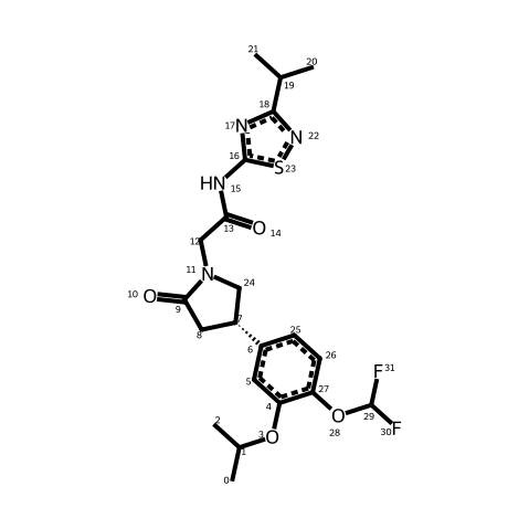 CC(C)Oc1cc([C@@H]2CC(=O)N(CC(=O)Nc3nc(C(C)C)ns3)C2)ccc1OC(F)F